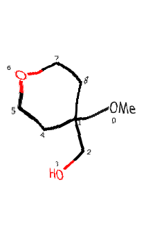 COC1(CO)CCOCC1